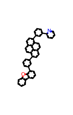 c1ccc(-c2cccc(-c3ccc4ccc5c(-c6cccc(-c7cccc8c7oc7ccccc78)c6)ccc6ccc3c4c65)c2)nc1